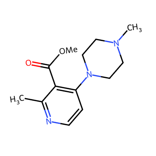 COC(=O)c1c(N2CCN(C)CC2)ccnc1C